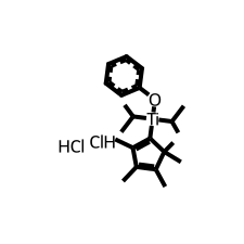 CC1=C(C)C(C)(C)[C]([Ti]([O]c2ccccc2)([CH](C)C)[CH](C)C)=C1C.Cl.Cl